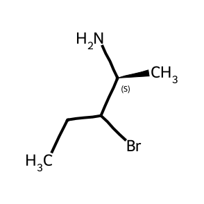 CCC(Br)[C@H](C)N